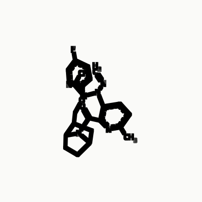 C=NN(/N=C\C)c1ccc(C)nc1C(=O)N1C2CCC1C(COc1ccc(F)cn1)C2